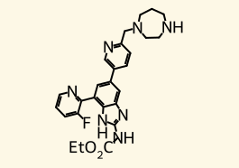 CCOC(=O)Nc1nc2cc(-c3ccc(CN4CCCNCC4)nc3)cc(-c3ncccc3F)c2[nH]1